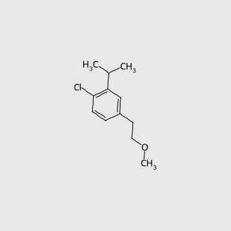 COCCc1ccc(Cl)c(C(C)C)c1